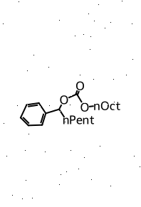 CCCCCCCCOC(=O)OC(CCCCC)c1ccccc1